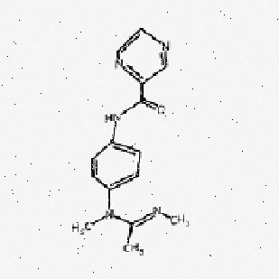 CN=C(C)N(C)c1ccc(NC(=O)c2cnccn2)cc1